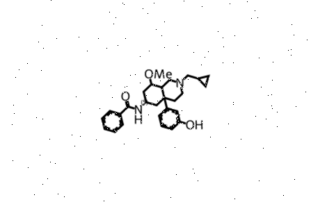 COC1C[C@@H](NC(=O)c2ccccc2)CC2(c3cccc(O)c3)CCN(CC3CC3)CC12